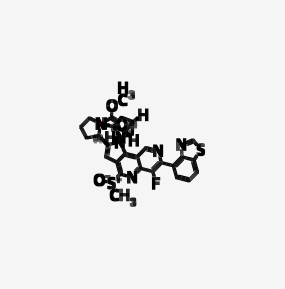 COC(=O)N1CCC[C@@H]1c1cc2c([S+](C)[O-])nc3c(F)c(-c4cccc5scnc45)ncc3c2n1[C@H]1[C@H]2CN[C@@H]1C2